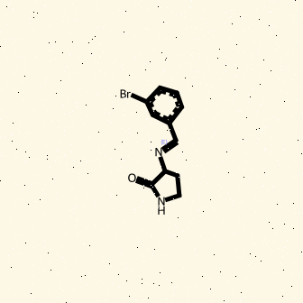 O=C1NCCC1/N=C/c1cccc(Br)c1